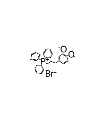 COc1ccc(CCC[P+](c2ccccc2)(c2ccccc2)c2ccccc2)cc1OC.[Br-]